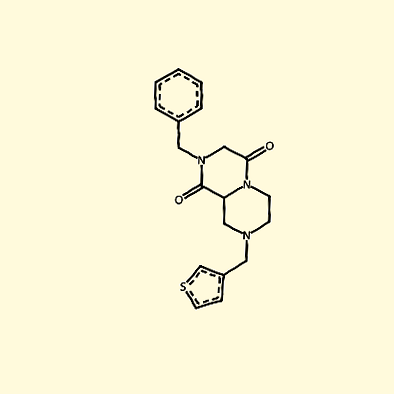 O=C1C2CN(Cc3ccsc3)CCN2C(=O)CN1Cc1ccccc1